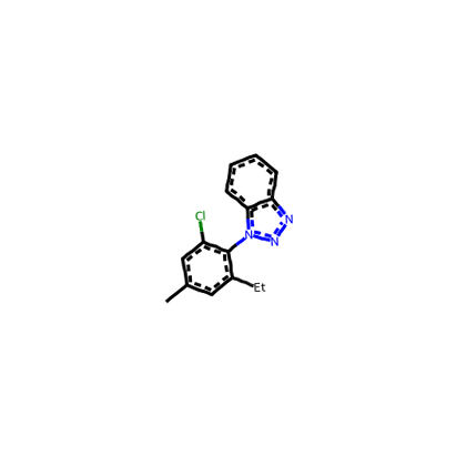 CCc1cc(C)cc(Cl)c1-n1nnc2ccccc21